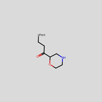 CCCCCCCC(=O)C1CNCCO1